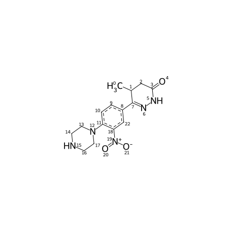 CC1CC(=O)NN=C1c1ccc(N2CCNCC2)c([N+](=O)[O-])c1